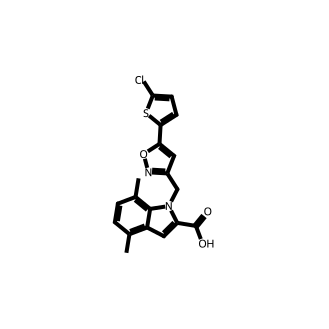 Cc1ccc(C)c2c1cc(C(=O)O)n2Cc1cc(-c2ccc(Cl)s2)on1